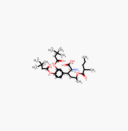 CCCC(C)C(=O)OC(C)CC(c1ccc(OC(=O)CC(C)(C)C)c(OC(=O)CC(C)(C)C)c1)[C@H](N)C(=O)O